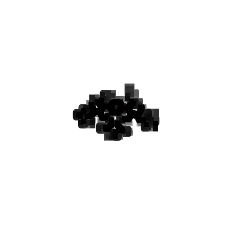 Cc1ncc(CP(=O)(O)O)c(CN(CC(=O)O)[C@@H]2CCCC[C@H]2N(CC(=O)O)Cc2c(CP(=O)(O)O)cnc(C)c2O)c1O